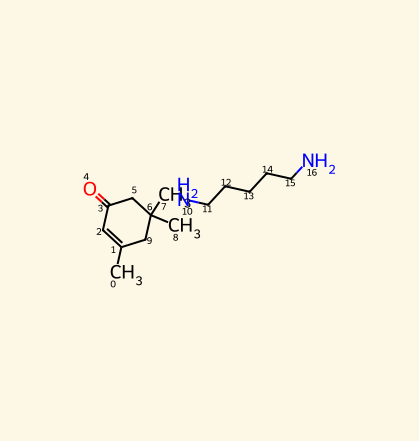 CC1=CC(=O)CC(C)(C)C1.NCCCCCN